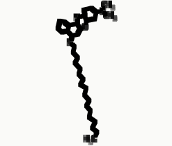 CCCCCCCCCCCCCCCCCCN=c1cc2oc3cc(N(C)C)ccc3nc-2c2ccccc12